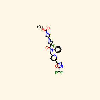 CC(C)(C)OC(=O)N1CC(N2CC(F)(C(=O)N(Cc3ccc(-c4nnc(C(F)F)o4)cn3)c3ccccc3)C2)C1